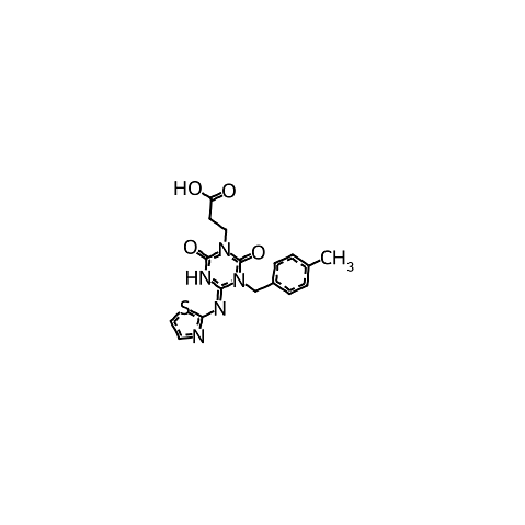 Cc1ccc(Cn2c(=O)n(CCC(=O)O)c(=O)[nH]/c2=N\c2nccs2)cc1